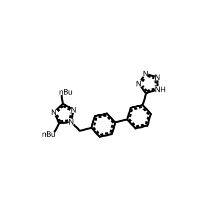 CCCCc1nc(CCCC)n(Cc2ccc(-c3cccc(-c4nnn[nH]4)c3)cc2)n1